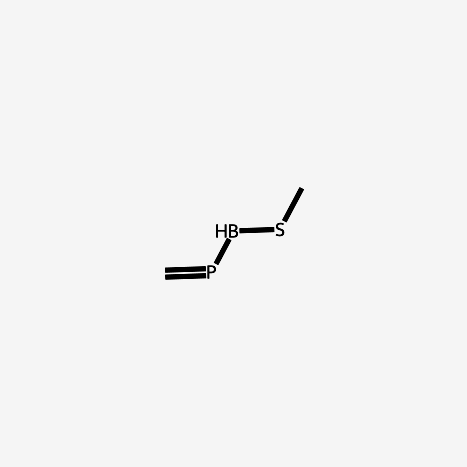 C=PBSC